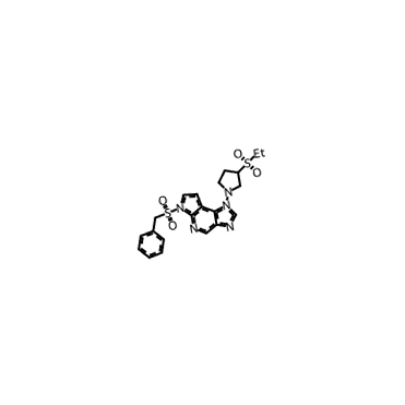 CCS(=O)(=O)C1CCN(n2cnc3cnc4c(ccn4S(=O)(=O)Cc4ccccc4)c32)C1